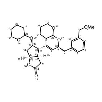 COCc1cccc(C[C@@H](C=C[C@@H]2[C@H]3CC(=O)O[C@H]3C[C@H]2OC2CCCCO2)OC2CCCCO2)c1